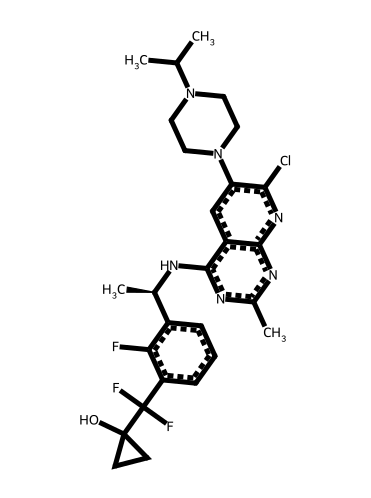 Cc1nc(N[C@H](C)c2cccc(C(F)(F)C3(O)CC3)c2F)c2cc(N3CCN(C(C)C)CC3)c(Cl)nc2n1